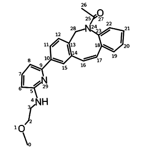 COCCNc1cccc(-c2ccc3c(c2)C=Cc2ccccc2N(C(C)=O)C3)n1